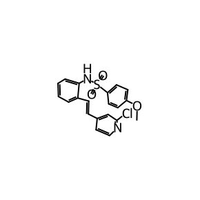 COc1ccc(S(=O)(=O)Nc2ccccc2C=Cc2ccnc(Cl)c2)cc1